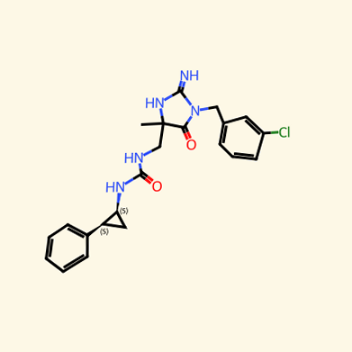 CC1(CNC(=O)N[C@H]2C[C@H]2c2ccccc2)NC(=N)N(Cc2cccc(Cl)c2)C1=O